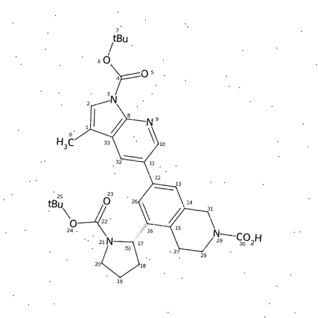 Cc1cn(C(=O)OC(C)(C)C)c2ncc(-c3cc4c(c([C@@H]5CCCN5C(=O)OC(C)(C)C)c3)CCN(C(=O)O)C4)cc12